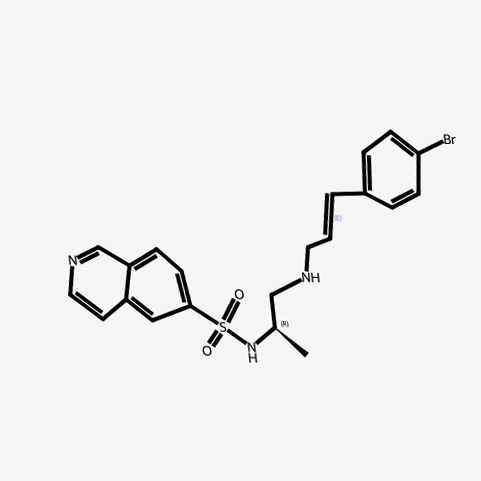 C[C@H](CNC/C=C/c1ccc(Br)cc1)NS(=O)(=O)c1ccc2cnccc2c1